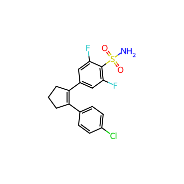 NS(=O)(=O)c1c(F)cc(C2=C(c3ccc(Cl)cc3)CCC2)cc1F